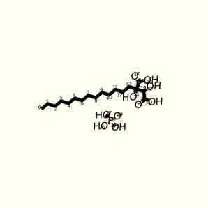 CCCCCCCCCCCCCCC(O)(C(=O)O)C(O)C(=O)O.O=P(O)(O)O